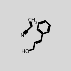 C=CC#N.OC/C=C/c1ccccc1